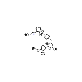 CC(C)Oc1ccc(C(=O)NC(CCO)Cc2ccc(-c3cn4cccc(/C=C/CO)c4n3)cc2)cc1C#N